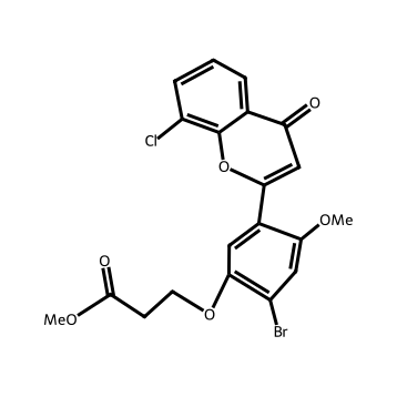 COC(=O)CCOc1cc(-c2cc(=O)c3cccc(Cl)c3o2)c(OC)cc1Br